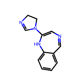 C1=NC=C(N2C=NCC2)Nc2ccccc21